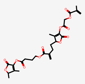 C=C(C)C(=O)OCC(=O)OC1=C(C)C(CCC(=C)C(=O)OCCCC(=O)OC2=C(C)C(C)OC2=O)OC1=O